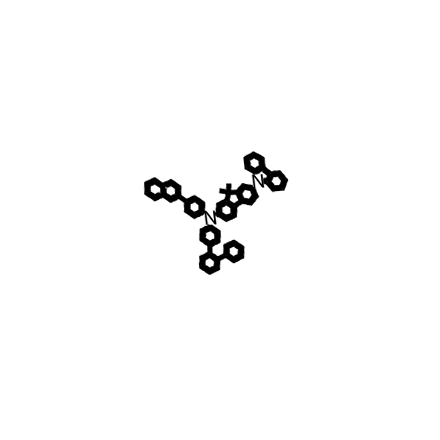 CC1(C)c2cc(N(c3ccc(-c4ccc5ccccc5c4)cc3)c3ccc(-c4ccccc4-c4ccccc4)cc3)ccc2-c2ccc(-n3c4ccccc4c4ccccc43)cc21